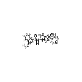 Cn1cc(C(=O)Nc2ccc(C[N+](C)(C)C3CCOCC3)cc2)c2ccccc21